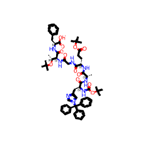 C[C@H](NC(=O)[C@H](Cc1cn(C(c2ccccc2)(c2ccccc2)c2ccccc2)cn1)NC(=O)OC(C)(C)C)C(=O)N[C@@H](CCC(=O)OC(C)(C)C)C(=O)NCC(=O)N[C@H](C(=O)N[C@@H](Cc1ccccc1)C(=O)O)[C@@H](C)OC(C)(C)C